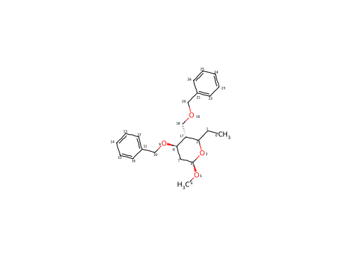 CCC1O[C@@H](OC)C[C@@H](OCc2ccccc2)[C@@H]1COCc1ccccc1